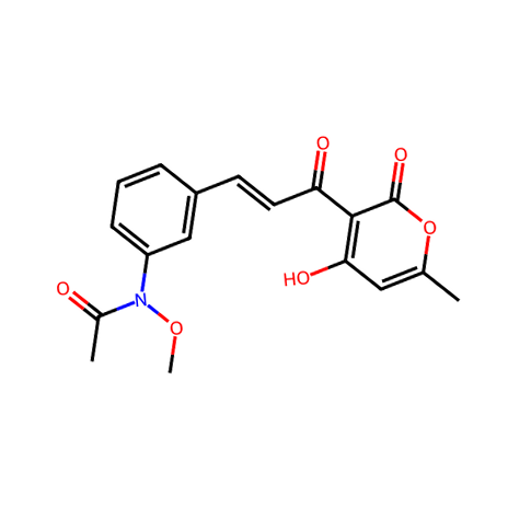 CON(C(C)=O)c1cccc(/C=C/C(=O)c2c(O)cc(C)oc2=O)c1